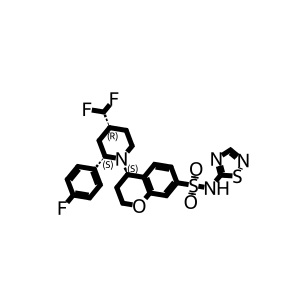 O=S(=O)(Nc1ncns1)c1ccc2c(c1)OCC[C@@H]2N1CC[C@@H](C(F)F)C[C@H]1c1ccc(F)cc1